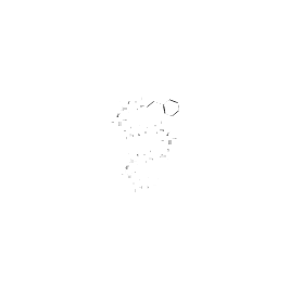 C[Si](C)(C)O[Si](C)(C)O[Si](C)(C)O[Si](C)(C)O[Si](C)(C)O[Si](C)(C)O[Si](C)(C)O[Si](C)(C)O[Si](C)(C)O[Si](C)(C)O[Si](C)(C)O[Si](C)(C)O[Si](C)(C)C=Cc1ccccc1